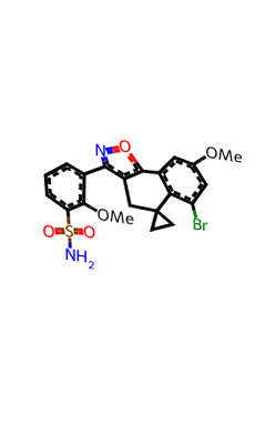 COc1cc(Br)c2c(c1)-c1onc(-c3cccc(S(N)(=O)=O)c3OC)c1CC21CC1